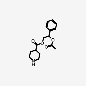 CC(=O)OC(COC(=O)C1CCNCC1)c1ccccc1